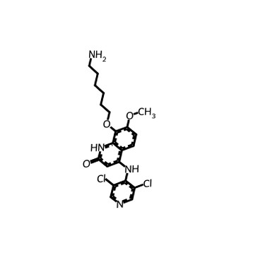 COc1ccc2c(Nc3c(Cl)cncc3Cl)cc(=O)[nH]c2c1OCCCCCCN